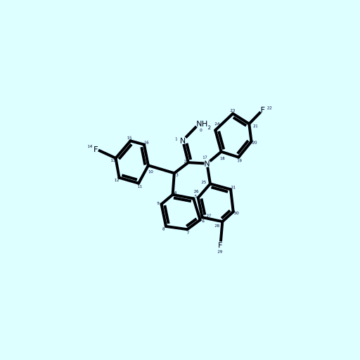 NN=C(C(c1ccccc1)c1ccc(F)cc1)N(c1ccc(F)cc1)c1ccc(F)cc1